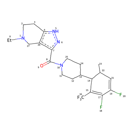 CCN1CCc2[nH]nc(C(=O)N3CCC(C4C(C(F)(F)F)=C(F)C(F)=CC4C)CC3)c2C1